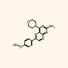 CCCCOc1ccc(-c2cnc3nc(N)nc(N4CCOCC4)c3n2)cc1